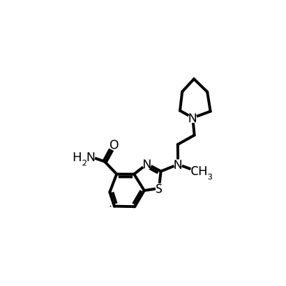 CN(CCN1CCCCC1)c1nc2c(C(N)=O)c[c]cc2s1